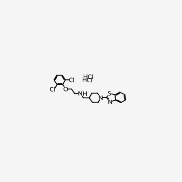 Cl.Cl.Clc1cccc(Cl)c1OCCNCC1CCN(c2nc3ccccc3s2)CC1